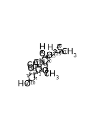 COc1cc(-c2ccc(O)cc2)c(OC)c(C)c1-c1ccc(OCCC=C(C)C)c(O)c1